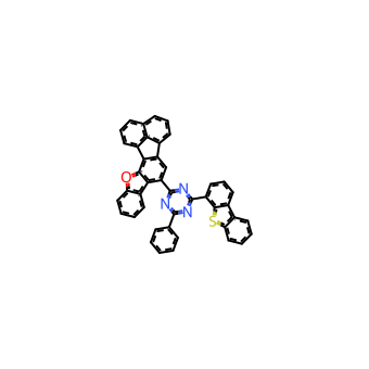 c1ccc(-c2nc(-c3cccc4c3sc3ccccc34)nc(-c3cc4c(c5oc6ccccc6c35)-c3cccc5cccc-4c35)n2)cc1